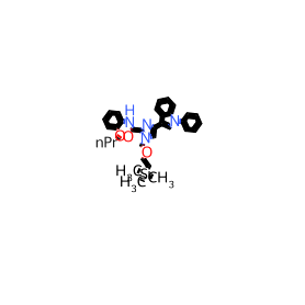 CCCOc1ccccc1NC(=O)c1nc(-c2cn(-c3ccccc3)c3ccccc23)cn1COCC[Si](C)(C)C